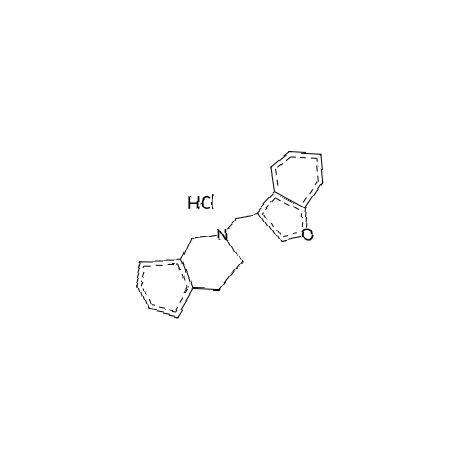 Cl.c1ccc2c(c1)CCN(Cc1coc3ccccc13)C2